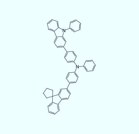 c1ccc(N(c2ccc(-c3ccc4c(c3)C3(CCCC3)c3ccccc3-4)cc2)c2ccc(-c3ccc4c5ccccc5n(-c5ccccc5)c4c3)cc2)cc1